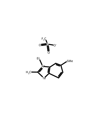 CC[n+]1c(C)[te]c2ccc(SC)cc21.O=S(=O)([O-])C(F)(F)F